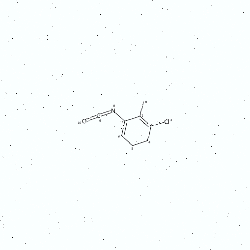 CC1=C(Cl)CCC=C1N=C=O